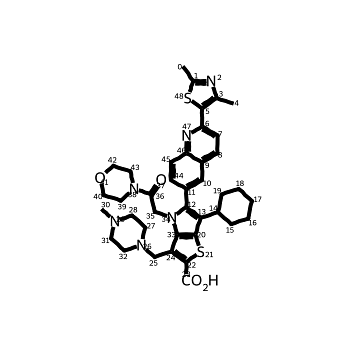 Cc1nc(C)c(-c2ccc3cc(-c4c(C5CCCCC5)c5sc(C(=O)O)c(CN6CCN(C)CC6)c5n4CC(=O)N4CCOCC4)ccc3n2)s1